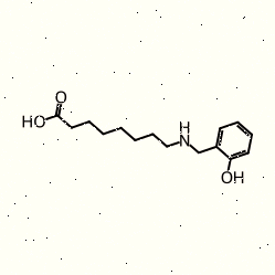 O=C(O)CCCCCCCNCc1ccccc1O